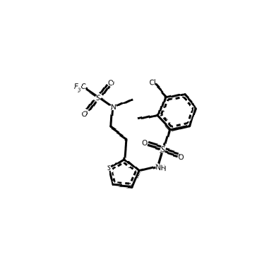 Cc1c(Cl)cccc1S(=O)(=O)Nc1ccsc1CCN(C)S(=O)(=O)C(F)(F)F